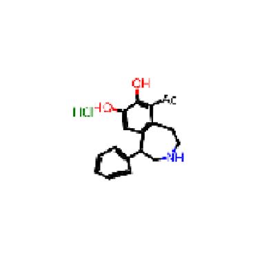 CC(=O)c1c(O)c(O)cc2c1CCNCC2c1ccccc1.Cl